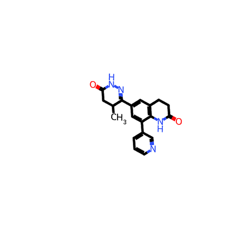 CC1CC(=O)NN=C1c1cc2c(c(-c3cccnc3)c1)NC(=O)CC2